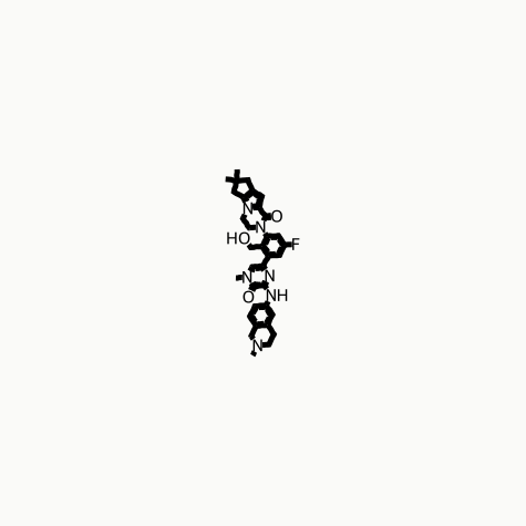 CN1CCc2cc(Nc3nc(-c4cc(F)cc(N5CCn6c(cc7c6CC(C)(C)C7)C5=O)c4CO)cn(C)c3=O)ccc2C1